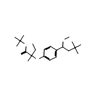 CCC(C)(Oc1ccc(C(CC(C)(C)C)PC)cc1)C(=O)OC(C)(C)C